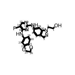 OCCn1ncc2ccc(Nc3ncc(F)c(Nc4ccc5c(c4)OCCO5)n3)cc21